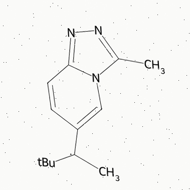 C[C](c1ccc2nnc(C)n2c1)C(C)(C)C